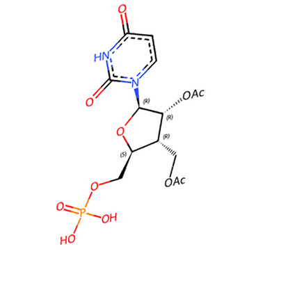 CC(=O)OC[C@H]1[C@@H](OC(C)=O)[C@H](n2ccc(=O)[nH]c2=O)O[C@@H]1COP(=O)(O)O